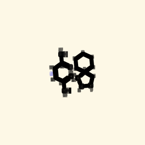 C1CCC2(CC1)COOO2.O=C(O)/C=C\C(=O)O